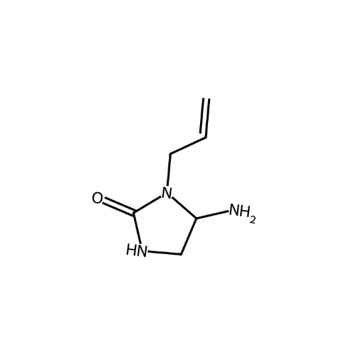 C=CCN1C(=O)NCC1N